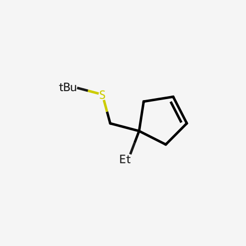 CCC1(CSC(C)(C)C)CC=CC1